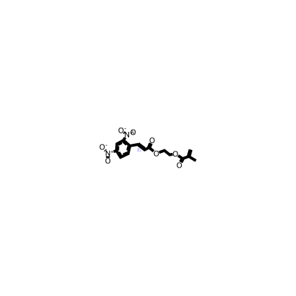 C=C(C)C(=O)OCCOC(=O)/C=C/c1ccc([N+](=O)[O-])cc1[N+](=O)[O-]